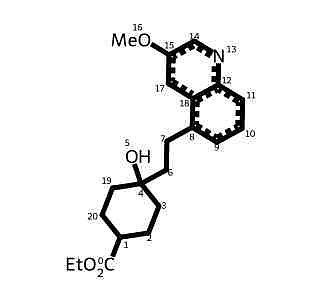 CCOC(=O)C1CCC(O)(CCc2cccc3ncc(OC)cc23)CC1